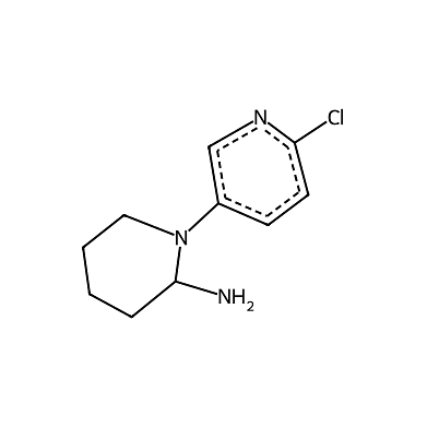 NC1CCCCN1c1ccc(Cl)nc1